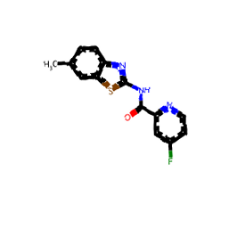 Cc1ccc2nc(NC(=O)c3cc(F)ccn3)sc2c1